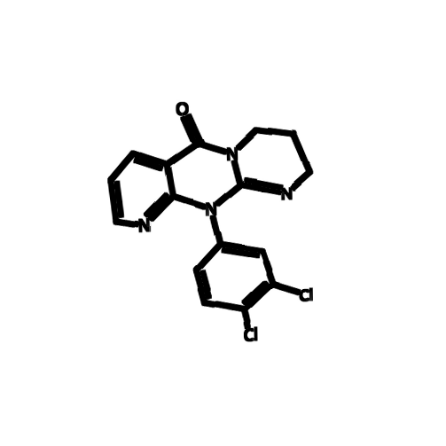 O=C1c2cccnc2N(c2ccc(Cl)c(Cl)c2)C2=NCCCN12